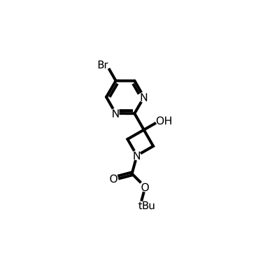 CC(C)(C)OC(=O)N1CC(O)(c2ncc(Br)cn2)C1